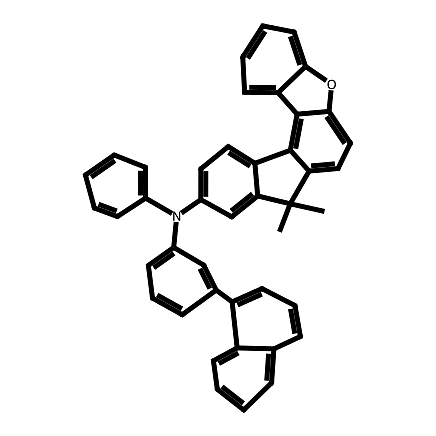 CC1(C)c2cc(N(c3ccccc3)c3cccc(-c4cccc5ccccc45)c3)ccc2-c2c1ccc1oc3ccccc3c21